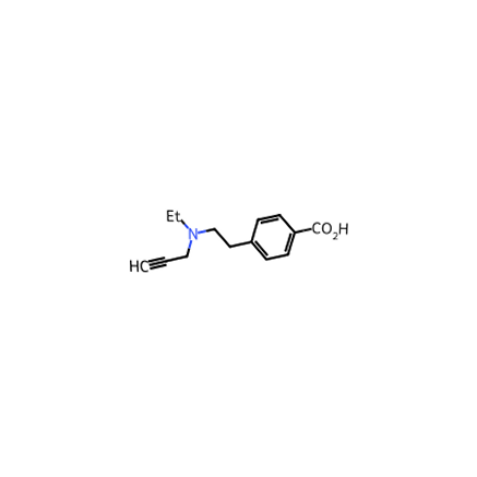 C#CCN(CC)CCc1ccc(C(=O)O)cc1